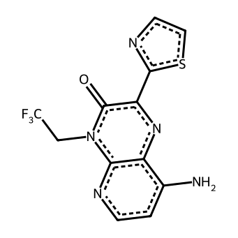 Nc1ccnc2c1nc(-c1nccs1)c(=O)n2CC(F)(F)F